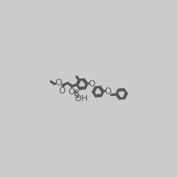 CCOC(=O)CC1OB(O)c2cc(Oc3cccc(OCc4ccccc4)c3)cc(C)c21